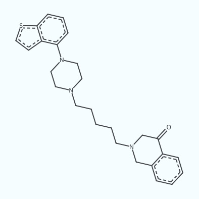 O=C1CN(CCCCCN2CCN(c3cccc4sccc34)CC2)Cc2ccccc21